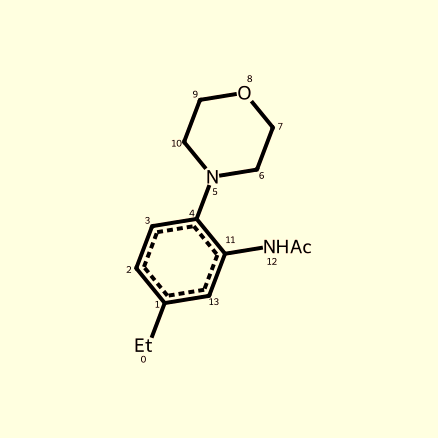 CCc1ccc(N2CCOCC2)c(NC(C)=O)c1